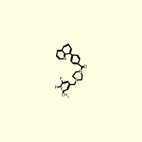 C=C(F)/C=C(\C=C(\F)CF)CN1CCN(C(=O)c2ccc(-c3cccc4cccnc34)cc2)CC1